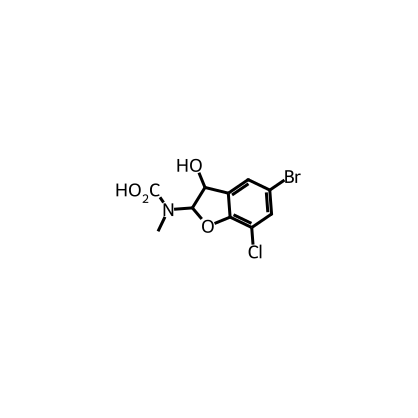 CN(C(=O)O)C1Oc2c(Cl)cc(Br)cc2C1O